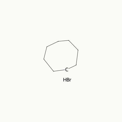 Br.C1CCCCCCC1